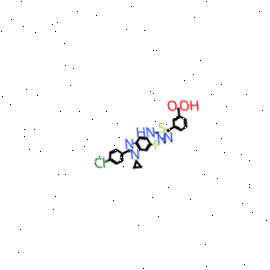 O=C(O)c1cccc(-c2nnc(Nc3cc4nc(-c5ccc(Cl)cc5)n(C5CC5)c4cc3F)s2)c1